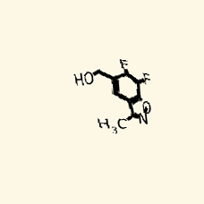 Cc1noc2c(F)c(F)c(CO)cc12